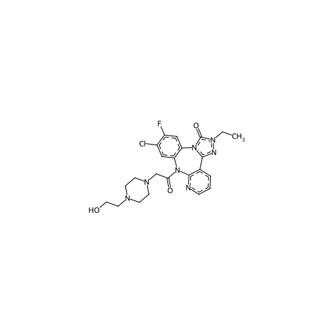 CCn1nc2n(c1=O)-c1cc(F)c(Cl)cc1N(C(=O)CN1CCN(CCO)CC1)c1ncccc1-2